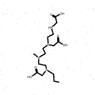 CCCN(CCN(C)CCN(CCNCC(=O)O)CC(=O)O)CC(=O)O